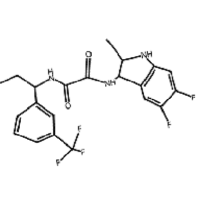 CCC(NC(=O)C(=O)NC1c2cc(F)c(F)cc2NC1C)c1cccc(C(F)(F)F)c1